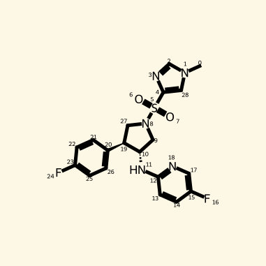 Cn1cnc(S(=O)(=O)N2C[C@H](Nc3ccc(F)cn3)[C@@H](c3ccc(F)cc3)C2)c1